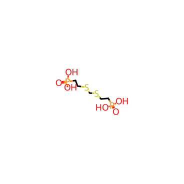 O=P(O)(O)CCSCSCCP(=O)(O)O